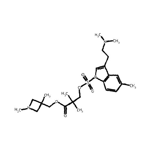 Cc1ccc2c(c1)c(CCN(C)C)cn2S(=O)(=O)OCC(C)(C)C(=O)OCC1(C)CN(C)C1